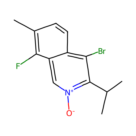 Cc1ccc2c(Br)c(C(C)C)[n+]([O-])cc2c1F